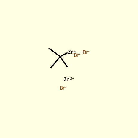 C[C](C)(C)[Zn+].[Br-].[Br-].[Br-].[Zn+2]